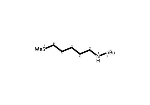 CCCCNCCCCCSC